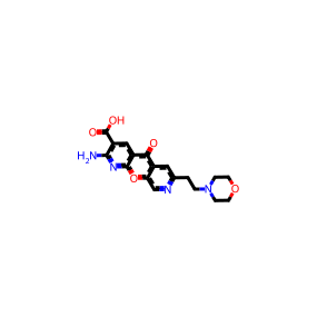 Nc1nc2oc3cnc(CCN4CCOCC4)cc3c(=O)c2cc1C(=O)O